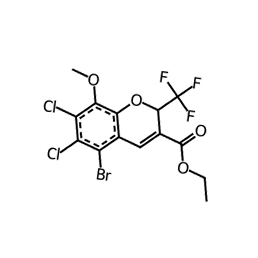 CCOC(=O)C1=Cc2c(Br)c(Cl)c(Cl)c(OC)c2OC1C(F)(F)F